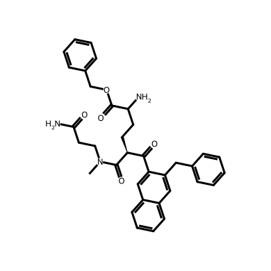 CN(CCC(N)=O)C(=O)[C@@H](CCC(N)C(=O)OCc1ccccc1)C(=O)c1cc2ccccc2cc1Cc1ccccc1